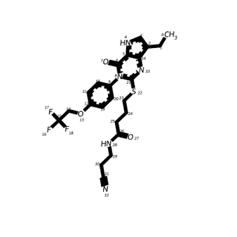 CCc1c[nH]c2c(=O)n(-c3ccc(OCC(F)(F)F)cc3)c(SCCCC(=O)NCCC#N)nc12